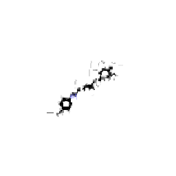 O=C(/C=C/c1ccc(O)cc1)OC[C@@H](O)COC1OC(CO)C(O)C(O)C1O